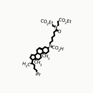 CCOC(=O)CCN(CC(=O)OCC)C(=O)CCCCCN(C(=O)O)C1CCC2(C)C(=CCC3C2CCC2(C)C(C(C)CCCC(C)C)CCC32)C1